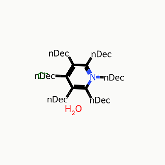 CCCCCCCCCCc1c(CCCCCCCCCC)c(CCCCCCCCCC)[n+](CCCCCCCCCC)c(CCCCCCCCCC)c1CCCCCCCCCC.O.[Cl-]